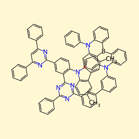 Cc1ccc2c(c1)c1cc(C)ccc1n2-c1ccc(-c2nc(-c3ccccc3)cc(-c3ccccc3)n2)cc1-c1nc(-c2ccccc2)nc(-c2cccc(-c3cccc(N4c5ccccc5B5c6ccccc6N(c6ccccc6)c6cccc4c65)c3)c2)n1